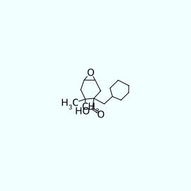 CC1(C)CC2OC2CC1(CC1CCCCC1)C(=O)O